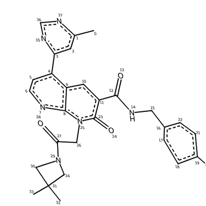 Cc1cc(-c2ccnc3c2cc(C(=O)NCc2ccc(Cl)cc2)c(=O)n3CC(=O)N2CC(C)(C)C2)ncn1